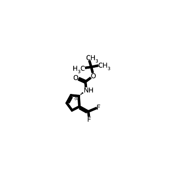 CC(C)(C)OC(=O)N[C@H]1C=CCC1=C(F)F